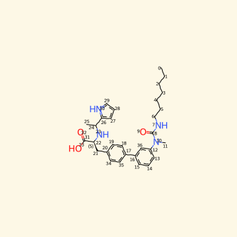 CCCCCCCNC(=O)N(C)c1cccc(-c2ccc(C[C@H](NC(C)c3ccc[nH]3)C(=O)O)cc2)c1